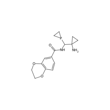 NC1(C(NC(=O)c2ccc3c(c2)OCCO3)P2CC2)CC1